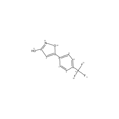 Oc1cc(-c2ccc(C(F)(F)F)cc2)on1